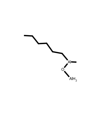 CCCCC[CH2][Al]([CH3])[O][AlH2]